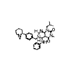 CC(C)CN1C(=O)N(C)C(=O)C(C(NCc2ccc(C3CCCCN3C)cc2)Nc2ccccc2)C1N